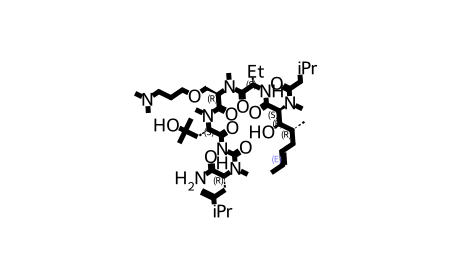 C=C(C[C@H](C(N)=O)N(C)C(=O)NC(=O)[C@H](CC(C)(C)O)N(C)C(=O)[C@@H](COCCCN(C)C)N(C)C(=O)[C@H](CC)NC(=O)[C@H]([C@H](O)[C@H](C)C/C=C/C)N(C)C(=O)CC(C)C)C(C)C